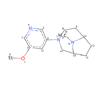 CCOc1cncc(N2CCC3CCC(C2)N3C)c1